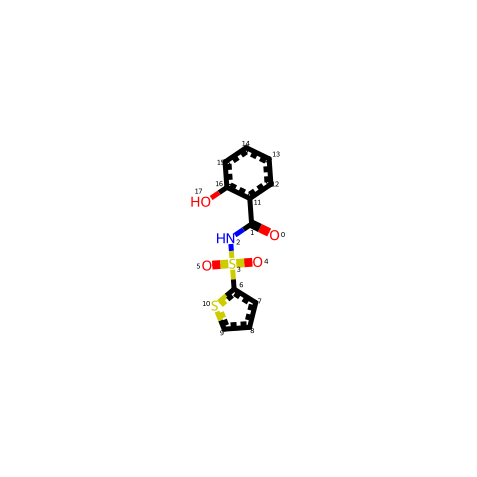 O=C(NS(=O)(=O)c1cccs1)c1ccccc1O